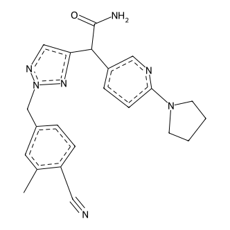 Cc1cc(Cn2ncc(C(C(N)=O)c3ccc(N4CCCC4)nc3)n2)ccc1C#N